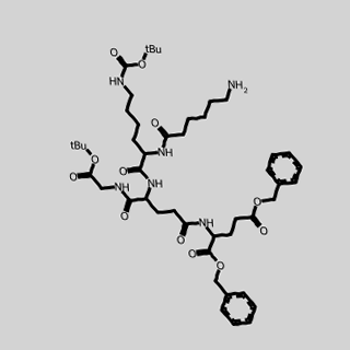 CC(C)(C)OC(=O)CNC(=O)C(CCC(=O)NC(CCC(=O)OCc1ccccc1)C(=O)OCc1ccccc1)NC(=O)C(CCCCNC(=O)OC(C)(C)C)NC(=O)CCCCCN